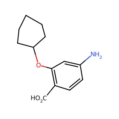 Nc1ccc(C(=O)O)c(OC2CCCCC2)c1